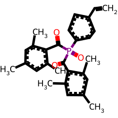 C=Cc1ccc(P(=O)(C(=O)c2c(C)cc(C)cc2C)C(=O)c2c(C)cc(C)cc2C)cc1